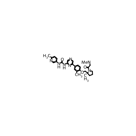 CNCC(=O)N1CCC[C@@]1(C)COc1ccc(-c2cncc(NC(=O)Nc3ccc(C)nc3)n2)cc1C